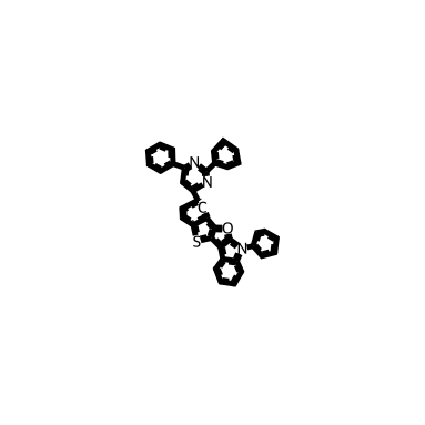 c1ccc(-c2cc(-c3ccc4sc5c(oc6c5c5ccccc5n6-c5ccccc5)c4c3)nc(-c3ccccc3)n2)cc1